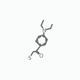 CCN(CC)c1ccc(C(=O)C[S])cc1